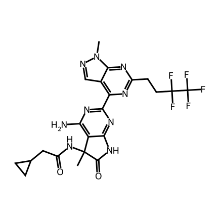 Cn1ncc2c(-c3nc(N)c4c(n3)NC(=O)C4(C)NC(=O)CC3CC3)nc(CCC(F)(F)C(F)(F)F)nc21